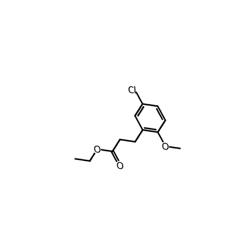 CCOC(=O)CCc1cc(Cl)ccc1OC